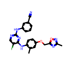 Cc1noc(COc2ccc(Nc3nc(Nc4cccc(C#N)c4)ncc3F)c(C)c2)n1